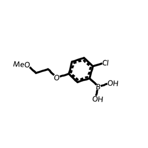 COCCOc1ccc(Cl)c(B(O)O)c1